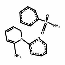 NC1=CC=CCN1c1ncccn1.NS(=O)(=O)c1ccccc1